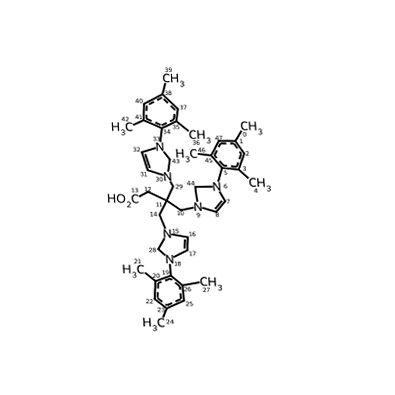 Cc1cc(C)c(N2C=CN(CC(CC(=O)O)(CN3C=CN(c4c(C)cc(C)cc4C)C3)CN3C=CN(c4c(C)cc(C)cc4C)C3)C2)c(C)c1